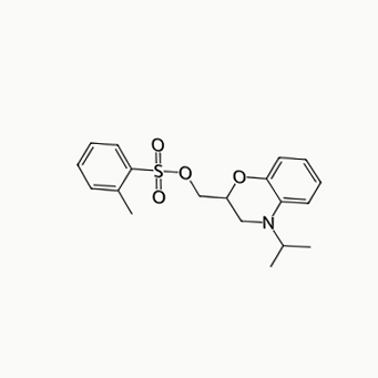 Cc1ccccc1S(=O)(=O)OCC1CN(C(C)C)c2ccccc2O1